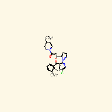 COc1cccc(C2OC(CC(=O)N3CCC(CC(=O)O)CC3)c3cccn3-c3ncc(Cl)cc32)c1OC